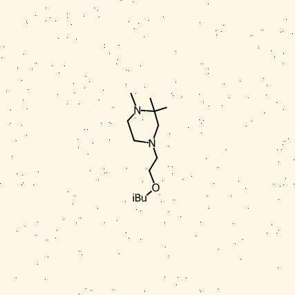 CCC(C)OCCN1CCN(C)C(C)(C)C1